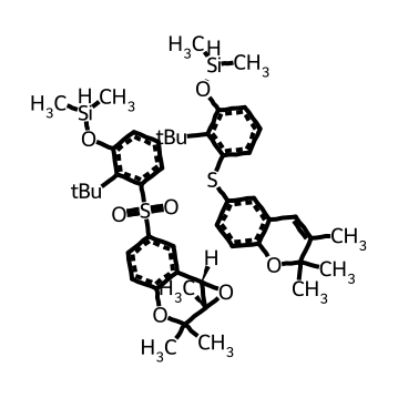 CC1=Cc2cc(Sc3cccc(O[SiH](C)C)c3C(C)(C)C)ccc2OC1(C)C.C[SiH](C)Oc1cccc(S(=O)(=O)c2ccc3c(c2)[C@@H]2O[C@]2(C)C(C)(C)O3)c1C(C)(C)C